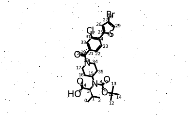 CC(C)[C@@H](C(=O)O)N(C(=O)OC(C)(C)C)C1CCN(C(=O)c2ccc(-c3cc(Br)cs3)c(Cl)c2)CC1